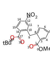 COC(=O)c1ccccc1Cc1cc([N+](=O)[O-])ccc1C(=O)OC(C)(C)C